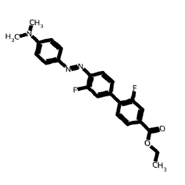 CCOC(=O)c1ccc(-c2ccc(/N=N/c3ccc(N(C)C)cc3)c(F)c2)c(F)c1